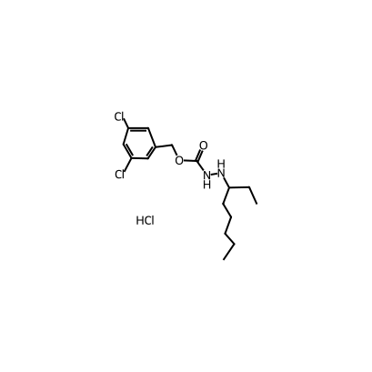 CCCCCC(CC)NNC(=O)OCc1cc(Cl)cc(Cl)c1.Cl